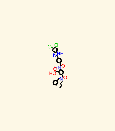 CCCCN(Cc1ccccc1)C(=O)c1ccc(NC(=O)c2ccc(-c3nc4cc(Cl)c(Cl)cc4[nH]3)cc2)c(C(=O)O)c1